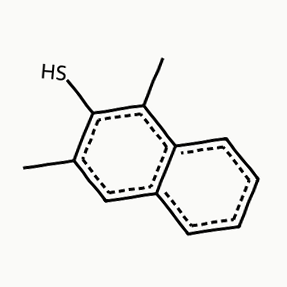 Cc1cc2ccccc2c(C)c1S